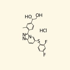 Cc1cc(C(O)CO)ccc1-c1nnc2ccc(Sc3ccc(F)cc3F)cn12.Cl